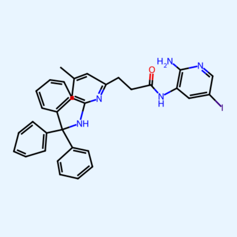 Cc1cc(CCC(=O)Nc2cc(I)cnc2N)nc(NC(c2ccccc2)(c2ccccc2)c2ccccc2)c1